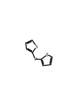 c1csc([I+]c2cccs2)c1